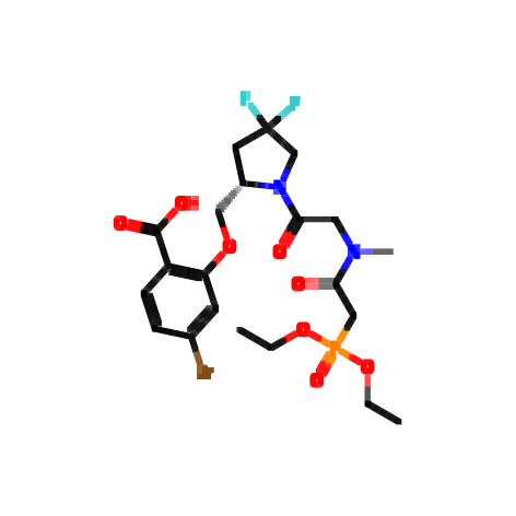 CCOP(=O)(CC(=O)N(C)CC(=O)N1CC(F)(F)C[C@H]1COc1cc(Br)ccc1C(=O)O)OCC